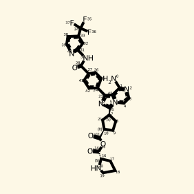 Nc1nccn2c([C@H]3CC[C@@H](C(=O)OC(=O)[C@@H]4CCCN4)C3)nc(-c3ccc(C(=O)Nc4cc(C(F)(F)F)ccn4)cc3)c12